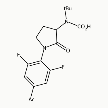 CC(=O)c1cc(F)c(N2CCC(N(C(=O)O)C(C)(C)C)C2=O)c(F)c1